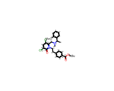 COc1ccccc1C(C)N(C)Cc1c(Cl)cc(Cl)c(=O)n1CCc1ccc(C(=O)OC(C)(C)C)cc1